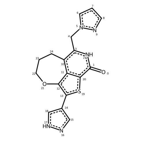 O=c1[nH]c(Cn2cccn2)c2c3c(c(-c4cn[nH]c4)sc13)OCCC2